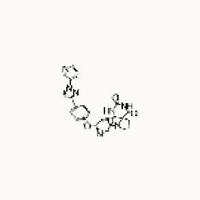 O=C1NC(=O)C2(CCCN2c2ccc(Oc3ccc(-c4ccn(-c5cccnc5)n4)cc3)nc2)C(=O)N1